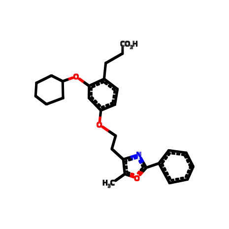 Cc1oc(-c2ccccc2)nc1CCOc1ccc(CCC(=O)O)c(OC2CCCCC2)c1